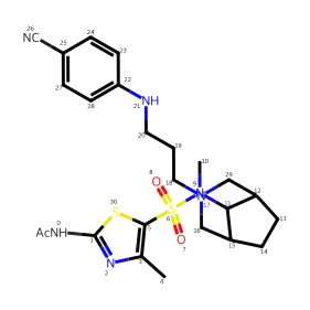 CC(=O)Nc1nc(C)c(S(=O)(=O)N(C)C2C3CCC2CN(CCCNc2ccc(C#N)cc2)C3)s1